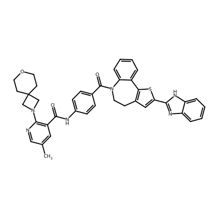 Cc1cnc(N2CC3(CCOCC3)C2)c(C(=O)Nc2ccc(C(=O)N3CCc4cc(-c5nc6ccccc6[nH]5)sc4-c4ccccc43)cc2)c1